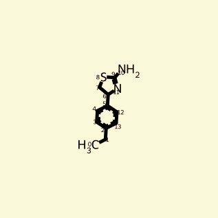 CCc1ccc(C2CSC(N)=N2)cc1